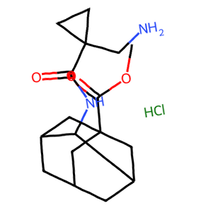 COC(=O)C12CC3CC(C1)C(NC(=O)C1(CN)CC1)C(C3)C2.Cl